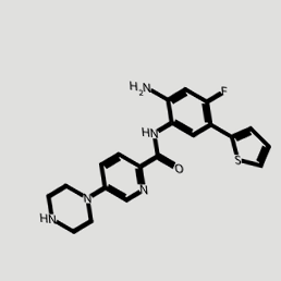 Nc1cc(F)c(-c2cccs2)cc1NC(=O)c1ccc(N2CCNCC2)cn1